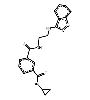 O=C(NCCNc1nsc2ccccc12)c1cccc(C(=O)NC2CC2)c1